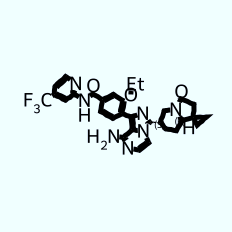 CCOc1cc(C(=O)Nc2cc(C(F)(F)F)ccn2)ccc1-c1nc([C@H]2CC[C@H]3N(C2)C(=O)CC32CC2)n2ccnc(N)c12